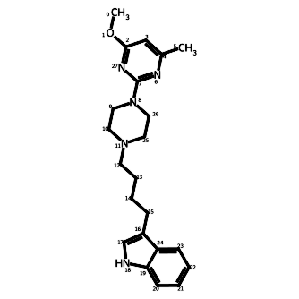 COc1cc(C)nc(N2CCN(CCCCc3c[nH]c4ccccc34)CC2)n1